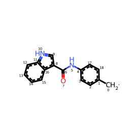 [CH2]c1ccc(NC(=O)c2c[nH]c3ccccc23)cc1